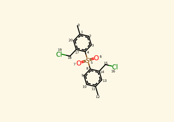 Cc1ccc(S(=O)(=O)c2ccc(C)cc2CCl)c(CCl)c1